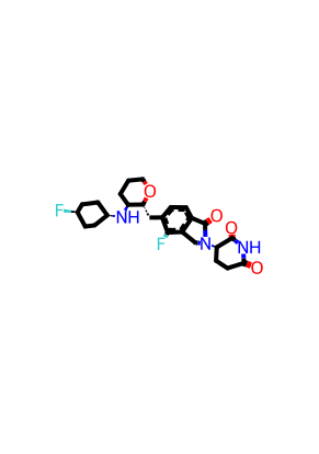 O=C1CC[C@H](N2Cc3c(ccc(C[C@H]4OCCC[C@@H]4N[C@H]4CC[C@H](F)CC4)c3F)C2=O)C(=O)N1